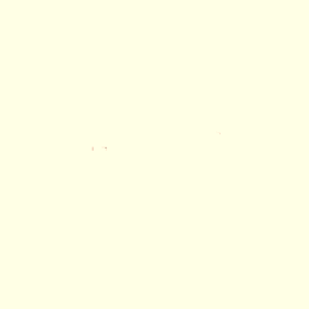 CCCCCc1c(O)ccc2ncccc12